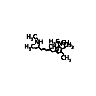 C=Cc1c(CC)cc(C/C(C)=C/C=C/C(CC)CNCC)cc1N(C)C